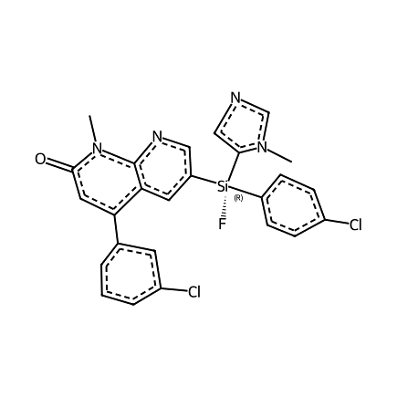 Cn1cncc1[Si@@](F)(c1ccc(Cl)cc1)c1cnc2c(c1)c(-c1cccc(Cl)c1)cc(=O)n2C